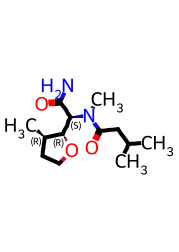 CC(C)CC(=O)N(C)[C@H](C(N)=O)[C@@H]1OCC[C@H]1C